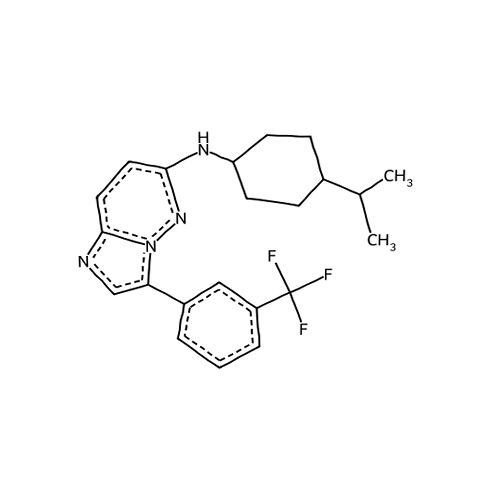 CC(C)C1CCC(Nc2ccc3ncc(-c4cccc(C(F)(F)F)c4)n3n2)CC1